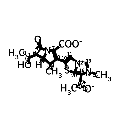 C[C@@H](O)[C@H]1C(=O)N2C(C(=O)[O-])=C(c3c[n+]4cn(C)c([S+](C)[O-])c4s3)[C@H](C)[C@H]12